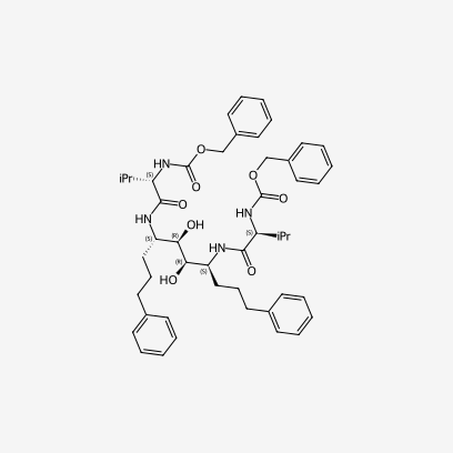 CC(C)[C@H](NC(=O)OCc1ccccc1)C(=O)N[C@@H](CCCc1ccccc1)[C@@H](O)[C@H](O)[C@H](CCCc1ccccc1)NC(=O)[C@@H](NC(=O)OCc1ccccc1)C(C)C